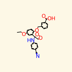 CCOc1ccc(OCc2cccc(C(=O)O)c2)c(C(C=O)(Nc2ccc(C#N)cc2)OC)c1